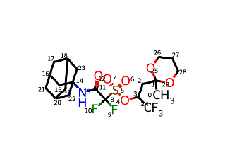 CC1(CC(OS(=O)(=O)C(F)(F)C(=O)NC23CC4CC(CC(C4)C2)C3)C(F)(F)F)OCCCO1